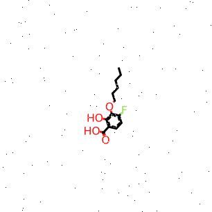 CCCCCCOc1c(F)ccc(C(=O)O)c1O